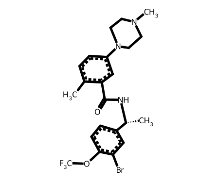 Cc1ccc(N2CCN(C)CC2)cc1C(=O)N[C@H](C)c1ccc(OC(F)(F)F)c(Br)c1